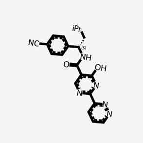 CC(C)C[C@H](NC(=O)c1cnc(-c2cccnn2)nc1O)c1ccc(C#N)cc1